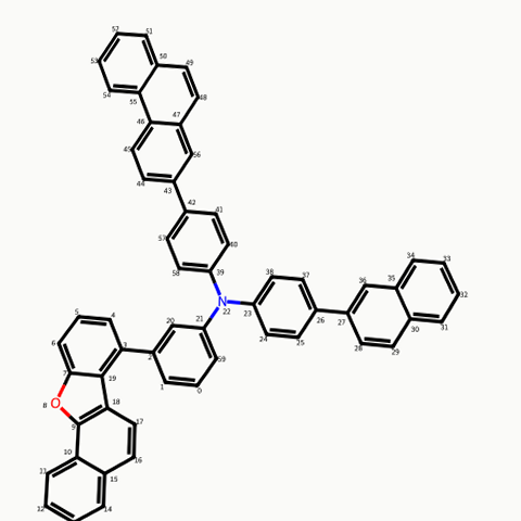 c1cc(-c2cccc3oc4c5ccccc5ccc4c23)cc(N(c2ccc(-c3ccc4ccccc4c3)cc2)c2ccc(-c3ccc4c(ccc5ccccc54)c3)cc2)c1